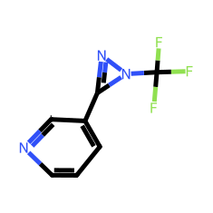 FC(F)(F)N1N=C1c1[c]nccc1